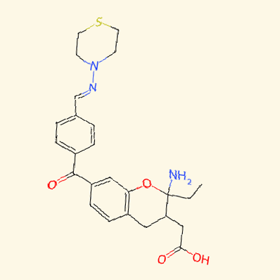 CCC1(N)Oc2cc(C(=O)c3ccc(C=NN4CCSCC4)cc3)ccc2CC1CC(=O)O